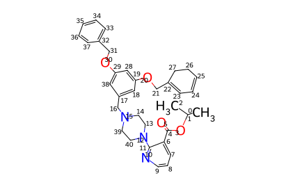 CC(C)OC(=O)c1cccnc1N1CCN(Cc2cc(OCC3=CC=CCC3)cc(OCc3ccccc3)c2)CC1